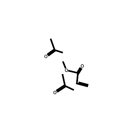 C=CC(=O)OC.CC(C)=O.CC(C)=O